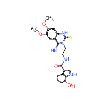 COc1cc2[nH]c(=S)n(CCNC(=O)c3c[nH]c4c(O)cccc34)c(=N)c2cc1OC